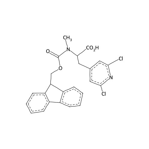 CN(C(=O)OCC1c2ccccc2-c2ccccc21)C(Cc1cc(Cl)nc(Cl)c1)C(=O)O